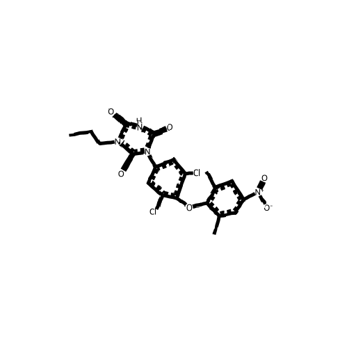 CCCn1c(=O)[nH]c(=O)n(-c2cc(Cl)c(Oc3c(C)cc([N+](=O)[O-])cc3C)c(Cl)c2)c1=O